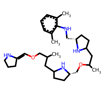 Cc1cccc(C)c1NC[C@@H]1CCC(CC(C)OC[C@@H]2CCC(CC(C)CO/C=C3\CCCN3)N2)N1